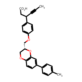 CC#CC(CC(=O)O)c1ccc(OC[C@H]2COc3ccc(-c4ccc(C)cc4)cc3O2)cc1